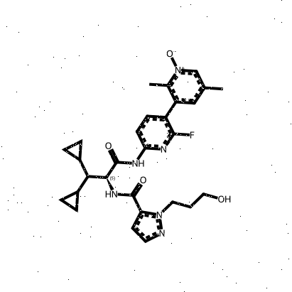 Cc1cc(-c2ccc(NC(=O)[C@@H](NC(=O)c3ccnn3CCCO)C(C3CC3)C3CC3)nc2F)c(C)[n+]([O-])c1